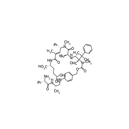 C/C(=C\[C@H](C(C)C)N(C)C(=O)[C@@H](NC[C@@](C=O)(N(C)C(=O)OCc1ccc(NC[C@H](C)NC(=O)[C@@H](N)C(C)C)cc1)C(C)(C)c1ccccc1)C(C)(C)C)C(=O)N[C@H](CCC(O)O)C(=O)O